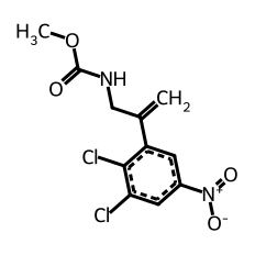 C=C(CNC(=O)OC)c1cc([N+](=O)[O-])cc(Cl)c1Cl